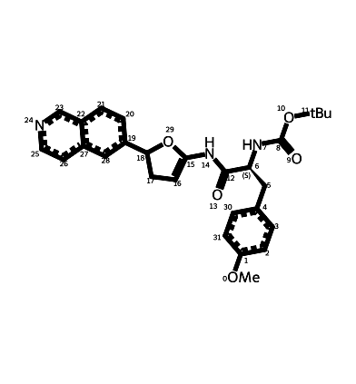 COc1ccc(C[C@H](NC(=O)OC(C)(C)C)C(=O)NC2=CCC(c3ccc4cnccc4c3)O2)cc1